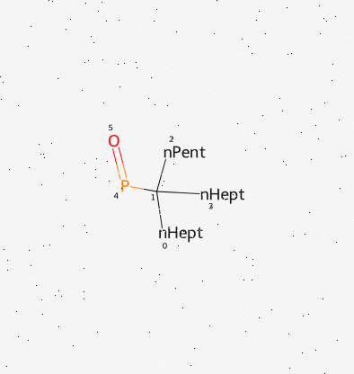 CCCCCCCC(CCCCC)(CCCCCCC)P=O